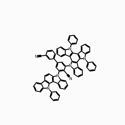 N#Cc1cccc(-c2cc(-n3c4ccccc4c4c3ccc3c5ccccc5n(-c5ccccc5)c34)c(C#N)c(-n3c4ccccc4c4c5c(c6ccccc6n5-c5ccccc5)c5c(c6ccccc6n5-c5ccccc5)c43)c2)c1